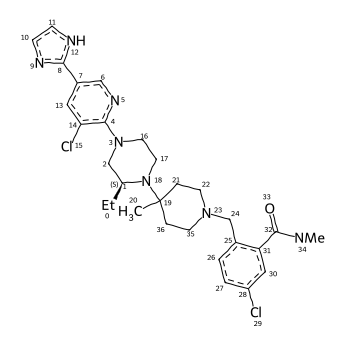 CC[C@H]1CN(c2ncc(-c3ncc[nH]3)cc2Cl)CCN1C1(C)CCN(Cc2ccc(Cl)cc2C(=O)NC)CC1